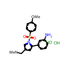 CNCc1cc(-c2cccc(N)c2)n(S(=O)(=O)c2ccc(OC)cc2)c1.Cl.Cl